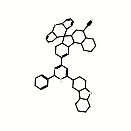 N#CC1CC2C(C3C=C(C4=NC(C5=CCCC=C5)NC(C5CCC6OC7CCCCC7C6C5)=C4)CCC3C23C2C=CC=CC2OC2C=CCCC23)C2CCCCC12